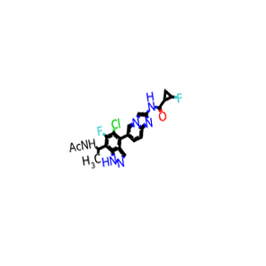 CC(=O)NC(C)c1c(F)c(Cl)c(-c2ccc3nc(NC(=O)C4CC4F)cn3c2)c2cn[nH]c12